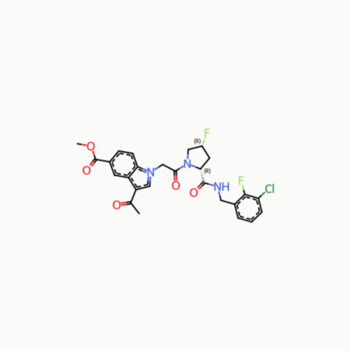 COC(=O)c1ccc2c(c1)c(C(C)=O)cn2CC(=O)N1C[C@H](F)C[C@@H]1C(=O)NCc1cccc(Cl)c1F